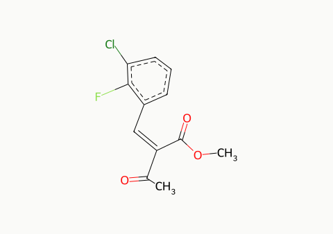 COC(=O)/C(=C\c1cccc(Cl)c1F)C(C)=O